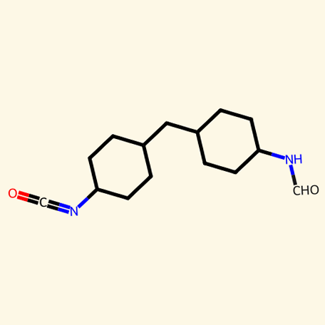 O=C=NC1CCC(CC2CCC(NC=O)CC2)CC1